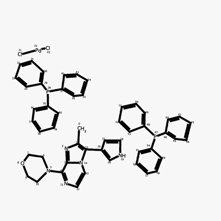 Cc1nc2c(N3CCOCC3)nccn2c1-c1cc[nH]c1.[Cl][Pd][Cl].c1ccc(P(c2ccccc2)c2ccccc2)cc1.c1ccc(P(c2ccccc2)c2ccccc2)cc1